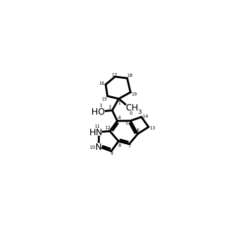 CC1(C(O)c2c3c(cc4cn[nH]c24)CC3)CCCCC1